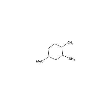 COC1CCC(C)C(N)C1